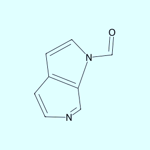 O=Cn1ccc2ccncc21